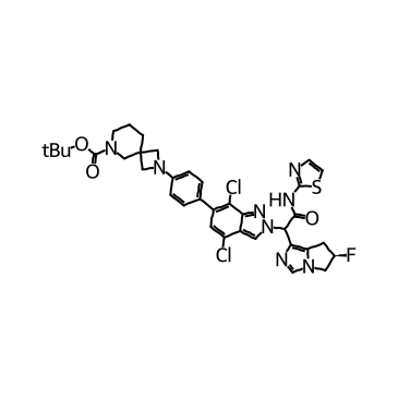 CC(C)(C)OC(=O)N1CCCC2(C1)CN(c1ccc(-c3cc(Cl)c4cn(C(C(=O)Nc5nccs5)c5ncn6c5C[C@@H](F)C6)nc4c3Cl)cc1)C2